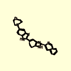 c1ccc2cc(-c3nc4cc(-c5nc6cc(N7CCOCC7)ccc6[nH]5)ccc4[nH]3)ncc2c1